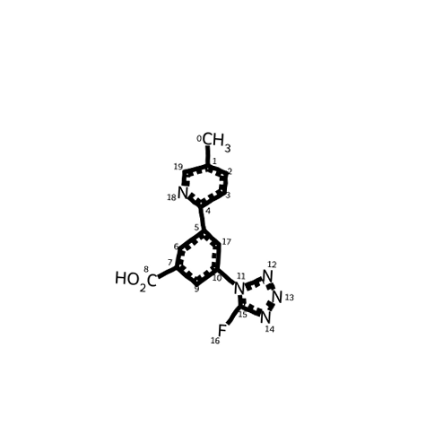 Cc1ccc(-c2cc(C(=O)O)cc(-n3nnnc3F)c2)nc1